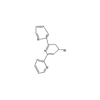 BrC1C=C(c2ccccn2)N=C(c2ccccn2)C1